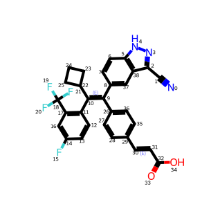 N#Cc1n[nH]c2ccc(/C(=C(/c3ccc(F)cc3C(F)(F)F)C3CCC3)c3ccc(/C=C/C(=O)O)cc3)cc12